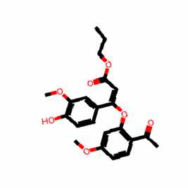 CCCOC(=O)C=C(Oc1cc(OC)ccc1C(C)=O)c1ccc(O)c(OC)c1